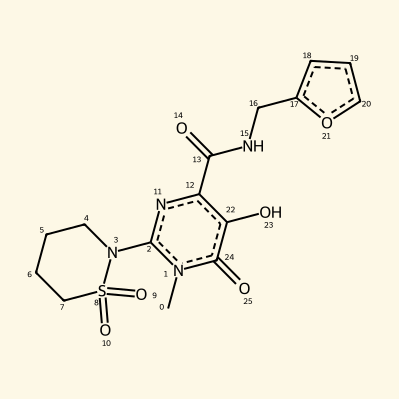 Cn1c(N2CCCCS2(=O)=O)nc(C(=O)NCc2ccco2)c(O)c1=O